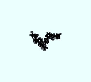 Cn1cc(C(=O)Nc2cccc(-c3nnc(N(C(=O)OC(C)(C)C)c4ccc5c(cnn5C(=O)OC(C)(C)C)c4Cl)s3)c2)cn1